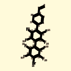 C=Cc1ccc(-c2c(F)c(F)c(-c3c(F)c(F)c(Br)c(F)c3F)c(F)c2F)cc1